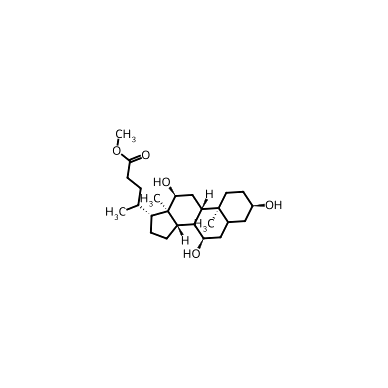 COC(=O)CCC(C)[C@H]1CC[C@H]2C3[C@H](O)CC4C[C@H](O)CC[C@]4(C)[C@H]3C[C@H](O)[C@]12C